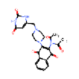 CC(=O)N(C(C)=O)C1=C(N2CCN(Cc3cc(=O)[nH]c(=O)[nH]3)CC2)C(=O)c2ccccc2C1=O